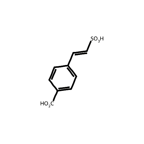 O=C(O)c1ccc(C=CS(=O)(=O)O)cc1